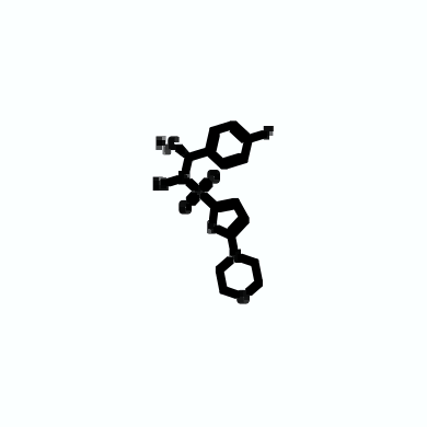 CCN([C@H](c1ccc(F)cc1)C(F)(F)F)S(=O)(=O)c1ccc(N2CCOCC2)s1